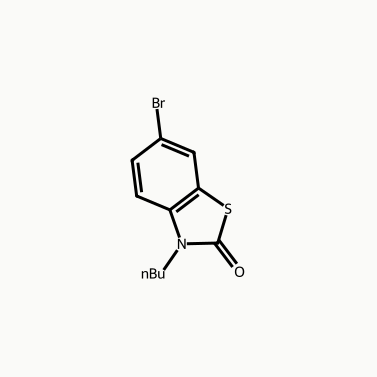 CCCCn1c(=O)sc2cc(Br)ccc21